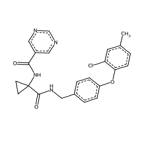 Cc1ccc(Oc2ccc(CNC(=O)C3(NC(=O)c4cncnc4)CC3)cc2)c(Cl)c1